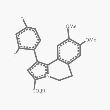 CCOC(=O)c1cc(-c2ccc(F)cc2F)c2n1CCc1cc(OC)c(OC)cc1-2